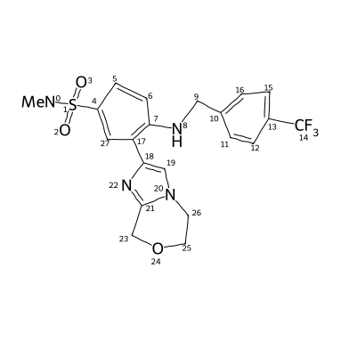 CNS(=O)(=O)c1ccc(NCc2ccc(C(F)(F)F)cc2)c(-c2cn3c(n2)COCC3)c1